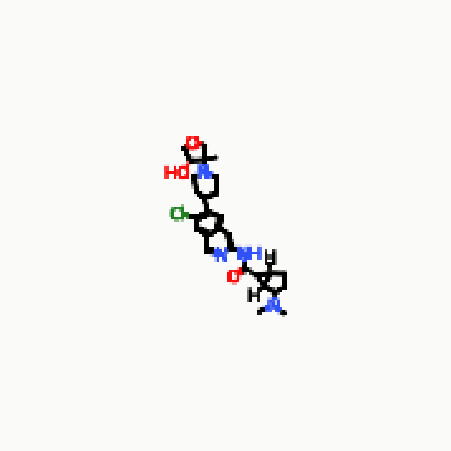 CN(C)C1CC[C@H]2[C@H](C(=O)Nc3cc4cc(C5CCN([C@@]6(C)COC[C@H]6O)CC5)c(Cl)cc4cn3)[C@@H]12